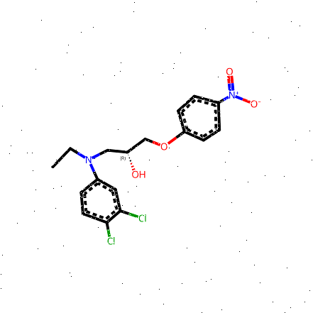 CCN(C[C@@H](O)COc1ccc([N+](=O)[O-])cc1)c1ccc(Cl)c(Cl)c1